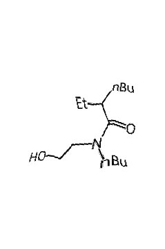 CCCCC(CC)C(=O)N(CCO)CCCC